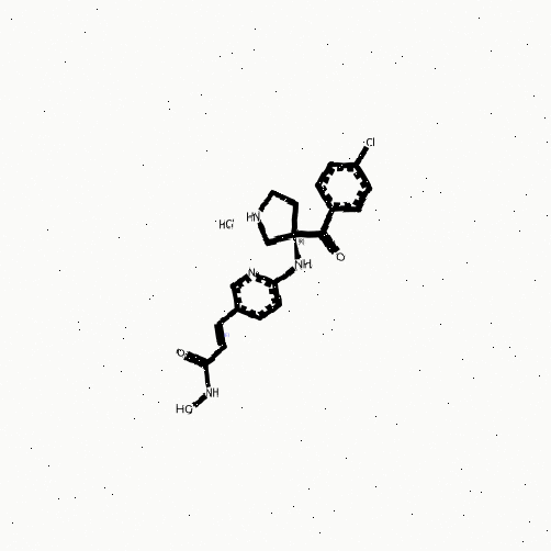 Cl.O=C(/C=C/c1ccc(N[C@]2(C(=O)c3ccc(Cl)cc3)CCNC2)nc1)NO